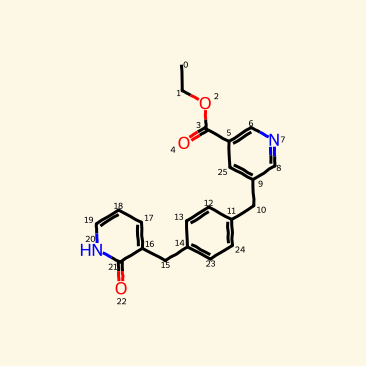 CCOC(=O)c1cncc(Cc2ccc(Cc3ccc[nH]c3=O)cc2)c1